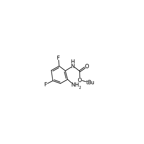 CC(C)(C)OC(=O)Nc1c(N)cc(F)cc1F